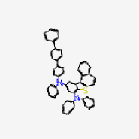 c1ccc(-c2ccc(-c3ccc(N(c4ccccc4)c4cc(N(c5ccccc5)c5ccccc5)c5sc6ccc7ccccc7c6c5c4)cc3)cc2)cc1